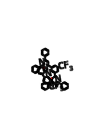 FC(F)(F)c1cc(-c2cc(-c3ccccc3)nc(-c3ccccc3)n2)c(-n2c3ccccc3c3ccc(C(F)(F)F)cc32)c(-c2cc(-c3ccccc3)nc(-c3ccccc3)n2)c1